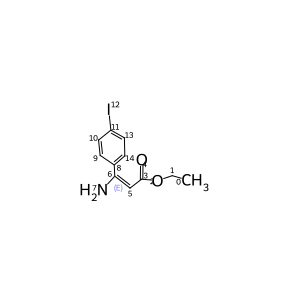 CCOC(=O)/C=C(/N)c1ccc(I)cc1